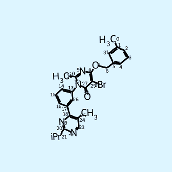 Cc1cccc(COc2nc(C)n(-c3cccc(-c4nc(C(C)C)ncc4C)c3)c(=O)c2Br)c1